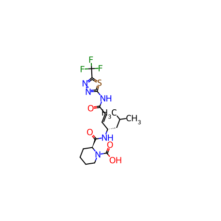 CC(C)C[C@@H](/C=C/C(=O)Nc1nnc(C(F)(F)F)s1)NC(=O)[C@@H]1CCCCN1C(=O)O